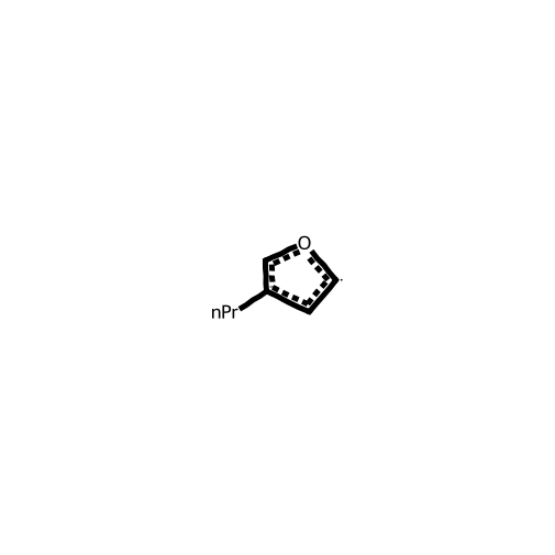 CCCc1c[c]oc1